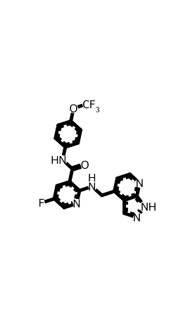 O=C(Nc1ccc(OC(F)(F)F)cc1)c1cc(F)cnc1NCc1ccnc2[nH]ncc12